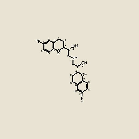 OC(CNC[C@@H](O)[C@@H]1CCc2cc(F)ccc2O1)[C@H]1CCc2cc(F)ccc2O1